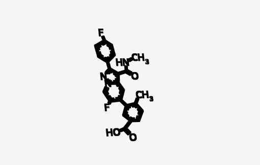 CNC(=O)c1c(-c2ccc(F)cc2)nn2cc(F)c(-c3cc(C(=O)O)ccc3C)cc12